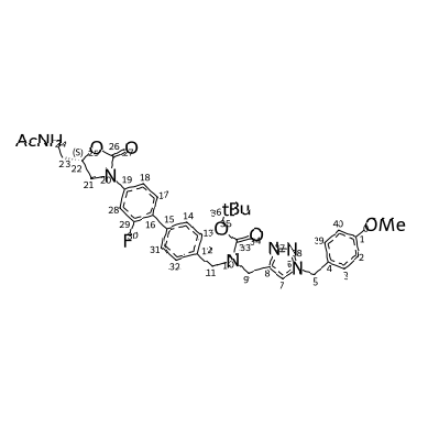 COc1ccc(Cn2cc(CN(Cc3ccc(-c4ccc(N5C[C@H](CNC(C)=O)OC5=O)cc4F)cc3)C(=O)OC(C)(C)C)nn2)cc1